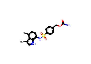 CCc1ccc(NS(=O)(=O)c2ccc(COC(N)=O)cc2)c2[nH]cc(C#N)c12